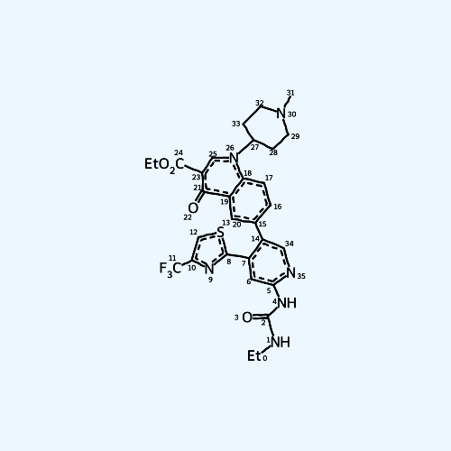 CCNC(=O)Nc1cc(-c2nc(C(F)(F)F)cs2)c(-c2ccc3c(c2)c(=O)c(C(=O)OCC)cn3C2CCN(C)CC2)cn1